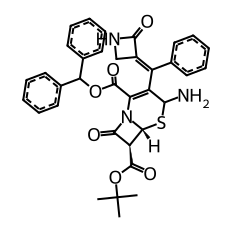 CC(C)(C)OC(=O)[C@H]1C(=O)N2C(C(=O)OC(c3ccccc3)c3ccccc3)=C(C(=C3CNC3=O)c3ccccc3)C(N)S[C@H]12